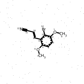 COc1ccc(OC)c(C=CC#N)c1Br